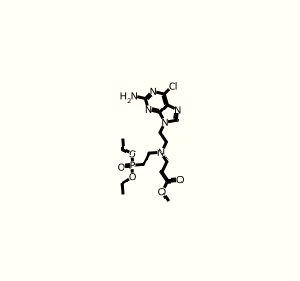 CCOP(=O)(CCN(CCC(=O)OC)CCn1cnc2c(Cl)nc(N)nc21)OCC